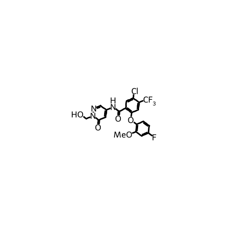 COc1cc(F)ccc1Oc1cc(C(F)(F)F)c(Cl)cc1C(=O)Nc1cnn(CO)c(=O)c1